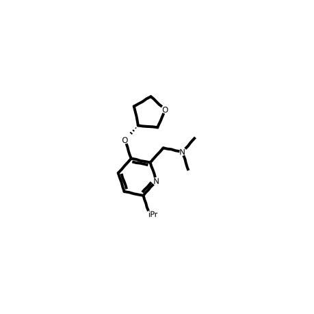 CC(C)c1ccc(O[C@@H]2CCOC2)c(CN(C)C)n1